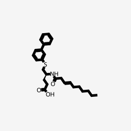 CCCCCCC=CCC(=O)N[C@@H](CCC(=O)O)CSc1cccc(-c2ccccc2)c1